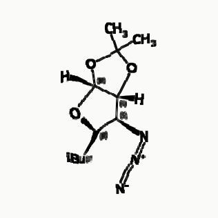 CC[C@H](C)[C@H]1O[C@@H]2OC(C)(C)O[C@@H]2[C@H]1N=[N+]=[N-]